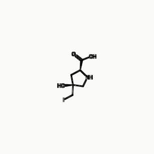 O=C(O)[C@@H]1C[C@@](O)(CI)CN1